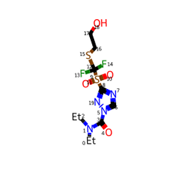 CCN(CC)C(=O)n1cnc(S(=O)(=O)C(F)(F)SCCO)n1